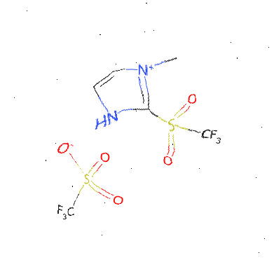 C[n+]1cc[nH]c1S(=O)(=O)C(F)(F)F.O=S(=O)([O-])C(F)(F)F